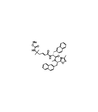 Cc1noc([C@@H](Cc2ccc3ccccc3c2)N(C)C(=O)[C@@H](Cc2ccc3ccccc3c2)NC(=O)C=CCC(C)(C)NC(=O)OC(C)(C)C)n1